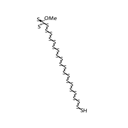 COS(=S)(=S)SSSSSSSSSSSSSSSSSSSSS